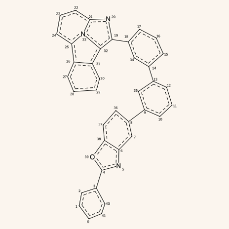 c1ccc(-c2nc3cc(-c4cccc(-c5cccc(-c6nc7cccc8c9ccccc9c6n78)c5)c4)ccc3o2)cc1